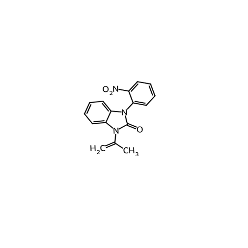 C=C(C)n1c(=O)n(-c2ccccc2[N+](=O)[O-])c2ccccc21